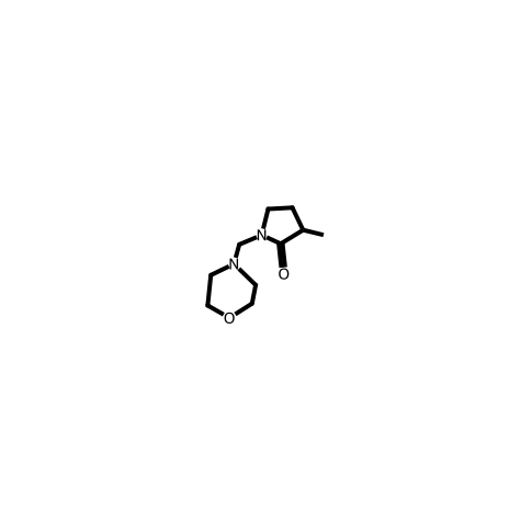 CC1CCN(CN2CCOCC2)C1=O